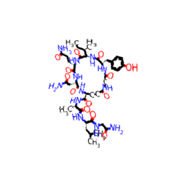 CC[C@H](C)[C@@H]1NC(=O)[C@H](Cc2ccc(O)cc2)NC(=O)CNC(=O)CC[C@@H](C(=O)N[C@@H](C)C(=O)N[C@@H](CC(C)C)C(=O)NCC(N)=O)NC(=O)[C@H](CC(N)=O)NC(=O)[C@H](CCC(N)=O)NC1=O